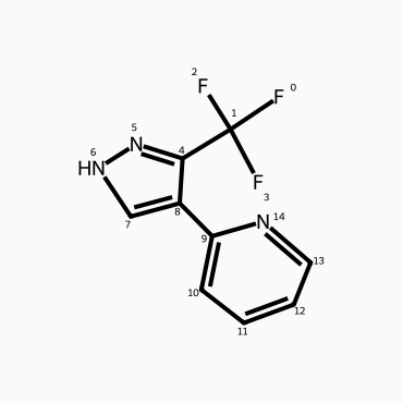 FC(F)(F)c1n[nH]cc1-c1ccccn1